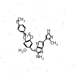 COc1ccc(COc2ccc(Cn3c(N)nc4cc(-c5c[nH]nc5C)cnc43)cc2OC)cc1.O